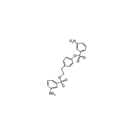 O=[N+]([O-])c1cccc(S(=O)(=O)OCCc2ccc(OS(=O)(=O)c3cccc([N+](=O)[O-])c3)cc2)c1